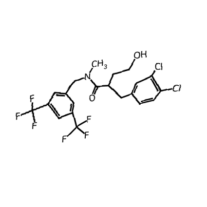 CN(Cc1cc(C(F)(F)F)cc(C(F)(F)F)c1)C(=O)C(CCO)Cc1ccc(Cl)c(Cl)c1